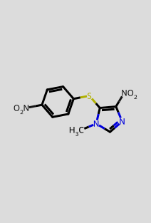 Cn1cnc([N+](=O)[O-])c1Sc1ccc([N+](=O)[O-])cc1